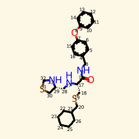 O=C(NCc1ccc(Oc2ccccc2)cc1)[C@H](CSCC1CCCCC1)NC[C@@H]1CSCN1